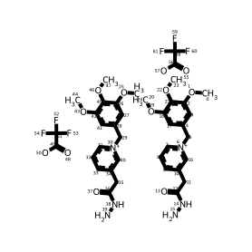 COc1cc(C[n+]2cccc(CC(=O)NN)c2)cc(OC)c1OC.COc1cc(C[n+]2cccc(CC(=O)NN)c2)cc(OC)c1OC.O=C([O-])C(F)(F)F.O=C([O-])C(F)(F)F